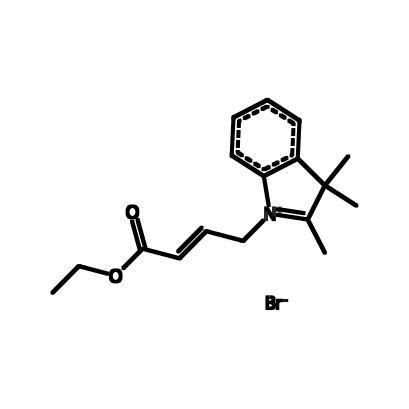 CCOC(=O)/C=C/C[N+]1=C(C)C(C)(C)c2ccccc21.[Br-]